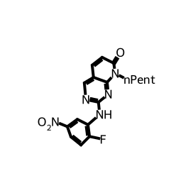 CCCCCn1c(=O)ccc2cnc(Nc3cc([N+](=O)[O-])ccc3F)nc21